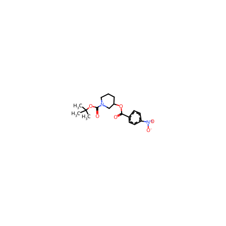 CC(C)(C)OC(=O)N1CCCC(OC(=O)c2ccc([N+](=O)[O-])cc2)C1